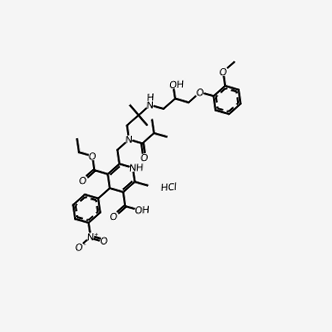 CCOC(=O)C1=C(CN(CC(C)(C)NCC(O)COc2ccccc2OC)C(=O)C(C)C)NC(C)=C(C(=O)O)C1c1cccc([N+](=O)[O-])c1.Cl